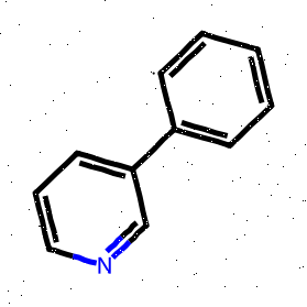 [c]1ccccc1-c1cccnc1